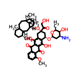 COc1cccc2c1C(=O)c1c(O)c3c(c(O)c1C2=O)C[C@@](O)(C(=O)CO)C[C@@H]3O[C@H]1C[C@H](N)[C@H](O)[C@H](C)O1.C[C@@H]1CCC[C@@]2(C)CC[C@H]3[C@H](C)CC[C@@H](C[C@H]12)C3(C)C